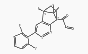 C=CC(=O)[C@@]12CC[C@@H](c3cc(-c4c(F)cccc4F)nnc31)C2(C)C